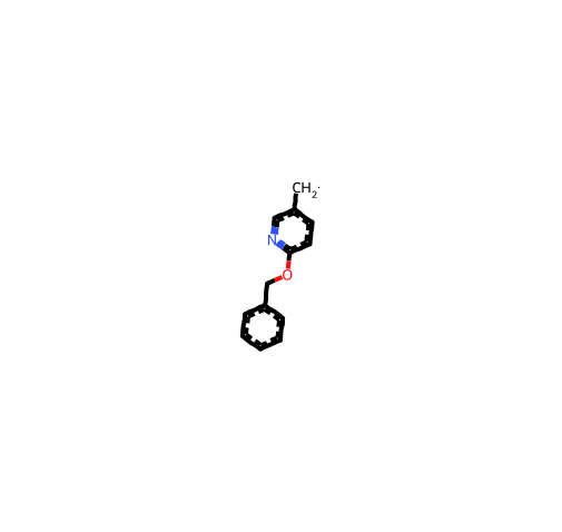 [CH2]c1ccc(OCc2ccccc2)nc1